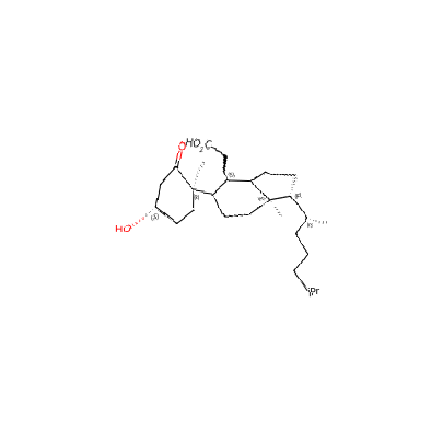 CC(C)CCC[C@@H](C)[C@H]1CCC2[C@H](CC(=O)O)C([C@@]3(C)CC[C@H](O)CC3=O)CC[C@@]21C